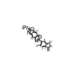 Cc1cc2c(cc1-c1nc3cc4nc(C(C)C)oc4cc3o1)CCC2C